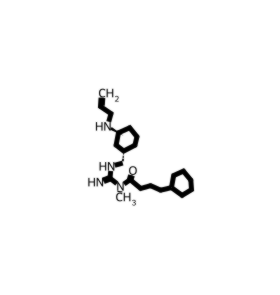 C=CCN[C@H]1CCC[C@H](CNC(=N)N(C)C(=O)CCCC2CCCCC2)C1